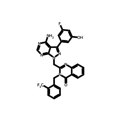 Nc1ncnc2c1c(-c1cc(O)cc(F)c1)nn2Cc1nc2ccccc2c(=O)n1Cc1ccccc1C(F)(F)F